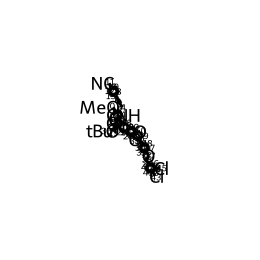 COC(=O)[C@H](CC#Cc1ccc(C#N)cc1)NC(=O)C1Cc2cc3c(cc2CN1C(=O)OC(C)(C)C)OC(c1ccc(OCc2ccc(Cl)c(Cl)c2)cc1)CO3